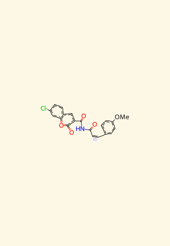 COc1ccc(/C=C\C(=O)NC(=O)c2cc3ccc(Cl)cc3oc2=O)cc1